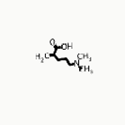 C=C(CCCN(C)C)C(=O)O